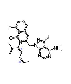 C=C(C)/C(=C\C=C/C)n1c(Cn2nc(I)c3c(N)ncnc32)cc2cccc(F)c2c1=O